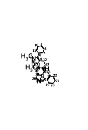 Cn1nc2c(c1-c1ccccc1)CC[C@H]1[C@H](Cc3ccccc3)c3oncc3C[C@]21C